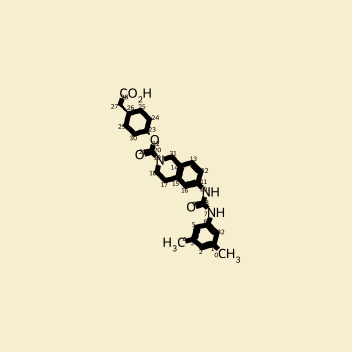 Cc1cc(C)cc(NC(=O)Nc2ccc3c(c2)CCN(C(=O)O[C@H]2CC[C@H](CC(=O)O)CC2)C3)c1